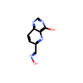 O/N=C/c1ccc2ncnc(O)c2n1